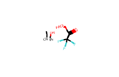 CC#N.CC(C)O.O=C(O)C(F)(F)F